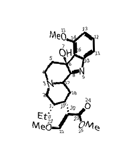 CC[C@@H]1CN2CC[C@@]3(O)C(=Nc4cccc(OC)c43)C2C[C@@H]1/C(=C\OC)C(=O)OC